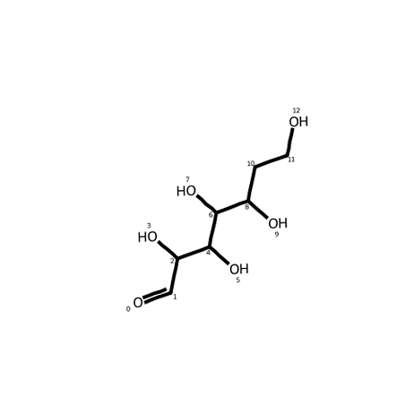 O=CC(O)C(O)C(O)C(O)CCO